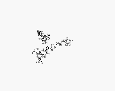 CC(C)c1c[n+](C(C)C)c2ccc(OCCCCCCC3C=CC=C3)cn12.[Br-].[Br-].[Fe+2].c1cc[cH-]c1